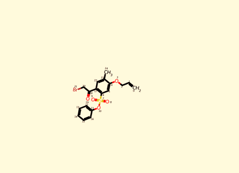 C=CCOc1cc(S(=O)(=O)Oc2ccccc2)c(C(=O)CBr)cc1C